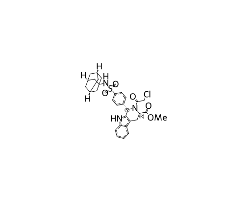 COC(=O)[C@H]1Cc2c([nH]c3ccccc23)[C@H](c2ccc(S(=O)(=O)NC34C[C@H]5C[C@@H](C3)C[C@@H](C4)C5)cc2)N1C(=O)CCl